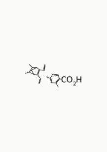 C=CC1=C(C=C)C2CC1C(C)C2C.Cc1ccc(C(=O)O)c(C)c1